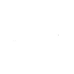 CCCCOCCOCCOCOCCOCCOCCCC